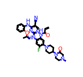 C=CC(=O)Nc1cc(N2CCC(N3CCN(C)CC3=O)CC2)c(F)cc1Nc1ncc(C#N)c(Nc2ccccc2OC(C)C)n1